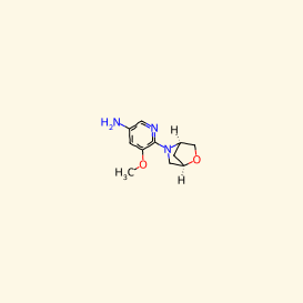 COc1cc(N)cnc1N1C[C@H]2C[C@@H]1CO2